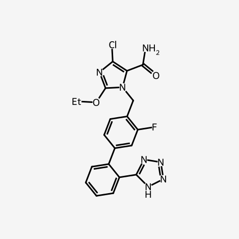 CCOc1nc(Cl)c(C(N)=O)n1Cc1ccc(-c2ccccc2-c2nnn[nH]2)cc1F